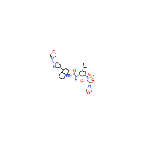 COc1c(NC(=O)Nc2ccc(-c3ccc(CN4CCOCC4)nc3)c3ccccc23)cc(C(C)(C)C)cc1N(CC(=O)N1CCOCC1)S(C)(=O)=O